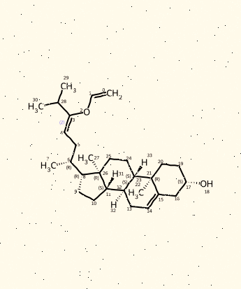 C=CO/C(=C\C[C@@H](C)[C@H]1CC[C@H]2[C@@H]3CC=C4C[C@@H](O)CC[C@]4(C)[C@H]3CC[C@]12C)C(C)C